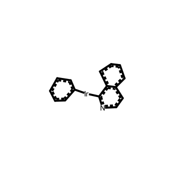 c1cc[c]([Ir][c]2nccc3ccccc23)cc1